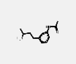 CC(=O)Nc1cccc(CCC(C)N)c1